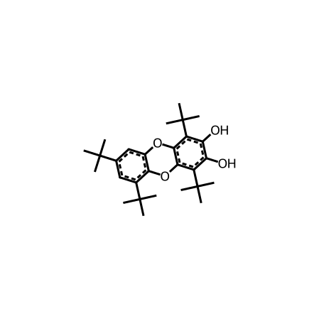 CC(C)(C)c1cc2c(c(C(C)(C)C)c1)Oc1c(c(C(C)(C)C)c(O)c(O)c1C(C)(C)C)O2